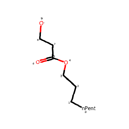 CCCCCCCCOC(=O)C[CH][O]